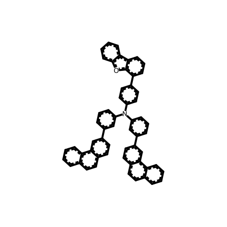 c1cc(-c2ccc3ccc4ccccc4c3c2)cc(N(c2ccc(-c3cccc4c3oc3ccccc34)cc2)c2cccc(-c3ccc4ccc5ccccc5c4c3)c2)c1